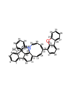 CC1(C)c2ccccc2-c2ccc3ccc(-c4cccc5c4oc4ccccc45)cccn(-c4ccccc4)c3c21